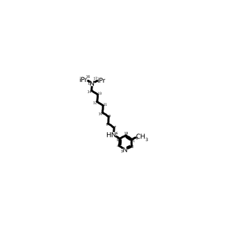 Cc1cncc(NCCCCCCCCN(C(C)C)C(C)C)c1